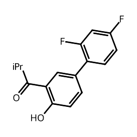 CC(C)C(=O)c1cc(-c2ccc(F)cc2F)ccc1O